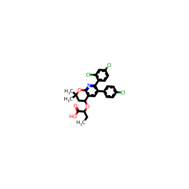 CCC(OC1CC(C)(C)Oc2nc(-c3ccc(Cl)cc3Cl)c(-c3ccc(Cl)cc3)cc21)C(=O)O